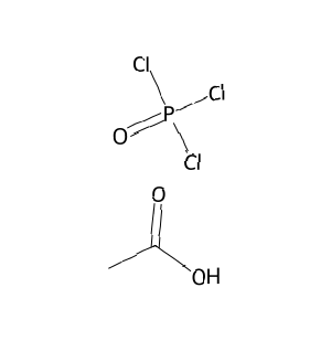 CC(=O)O.O=P(Cl)(Cl)Cl